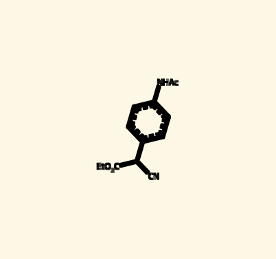 CCOC(=O)C(C#N)c1ccc(NC(C)=O)cc1